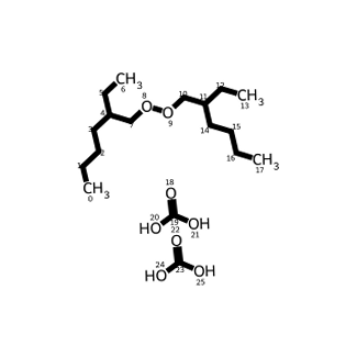 CCCCC(CC)COOCC(CC)CCCC.O=C(O)O.O=C(O)O